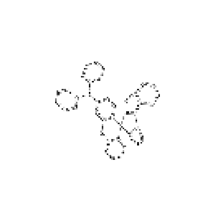 c1ccc(N(c2ccccc2)c2ccc3c(c2)Sc2ccccc2C32c3ccccc3-c3c2ccc2ccccc32)cc1